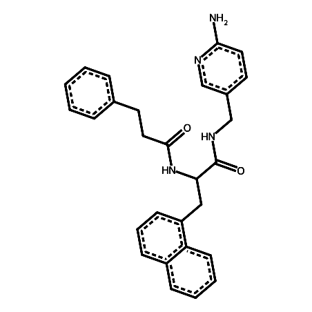 Nc1ccc(CNC(=O)C(Cc2cccc3ccccc23)NC(=O)CCc2ccccc2)cn1